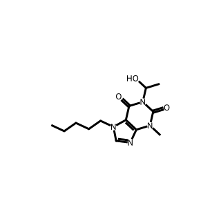 CCCCCn1cnc2c1c(=O)n(C(C)O)c(=O)n2C